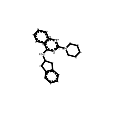 c1ccc2c(c1)CC(Nc1nc(N3CCCCC3)nc3ccccc13)C2